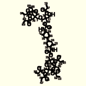 C=CC(=O)OCC(COCC(CO)(COC(=O)C=C)COC(=O)Nc1ccc(-c2ccc(NC(=O)OCC(COCC(COC(=O)C=C)(COC(=O)C=C)COC(=O)C=C)(COC(=O)C=C)COC(=O)C=C)c(C)c2)cc1C)(COC(=O)C=C)COC(=O)C=C